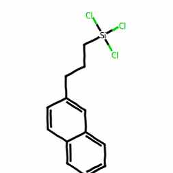 Cl[Si](Cl)(Cl)CCCc1ccc2ccccc2c1